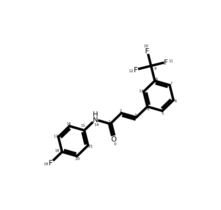 O=C(/C=C/c1cccc(C(F)(F)F)c1)Nc1ccc(F)cc1